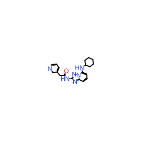 O=C(Cc1cccnc1)Nc1nc2cccc(NC3CCCCC3)n2n1